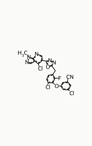 Cn1ncc2c(Cl)c(-c3nnc(Cc4ccc(Cl)c(Oc5cc(Cl)cc(C#N)c5)c4F)o3)cnc21